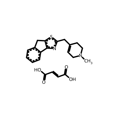 CN1CC=C(Cc2nc3c(s2)Cc2ccccc2-3)CC1.O=C(O)/C=C/C(=O)O